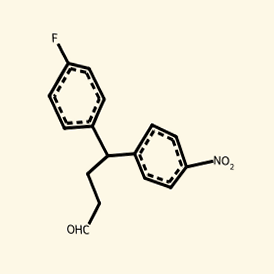 O=CCCC(c1ccc(F)cc1)c1ccc([N+](=O)[O-])cc1